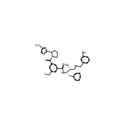 Cc1coc(C2CCCN2C(=O)c2cc(CF)cc(C(=O)N[C@@H](Cc3ccccc3)[C@H](O)CNCc3cccc(C(C)(C)C)c3)c2)n1